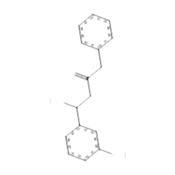 O=C(Cc1ccccc1)CC(O)c1cccc(O)c1